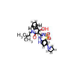 CC(C)CCN1C(=O)C(C2=NS(=O)(=O)c3cc(N4CCCC4)ccc3N2)=C(O)C2C1[C@@H]1CC[C@H]2C1